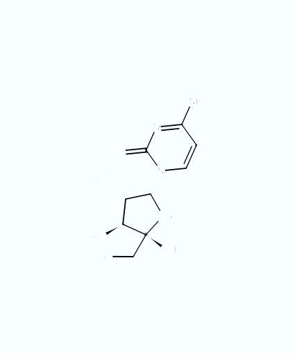 C[C@]1(CO)O[C@@H](n2ccc(N)nc2=O)[C@@H](C(F)(F)F)[C@@H]1O